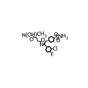 CN(O)C(=O)CCc1nc(-c2ccc(F)c(Cl)c2)c(-c2ccc(S(N)(=O)=O)cc2)o1